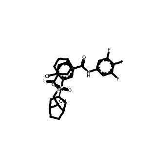 O=C(Nc1cc(F)c(F)c(F)c1)c1ccc(Cl)c(S(=O)(=O)[C@H]2CC3CCC(C2)[C@]3(O)CNC(=O)C2CC=CCC2)c1